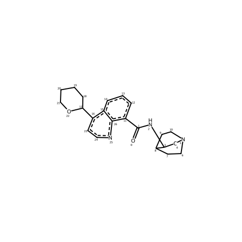 O=C(NC1CN2CCC1CC2)c1cccc2c(C3CCCCO3)ccnc12